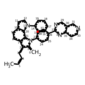 C=c1/c(=C\C=C/C)c2ccc3ccn(-c4ccccc4)c3c2n1-c1ccc(-c2ncc3cnccc3n2)cc1